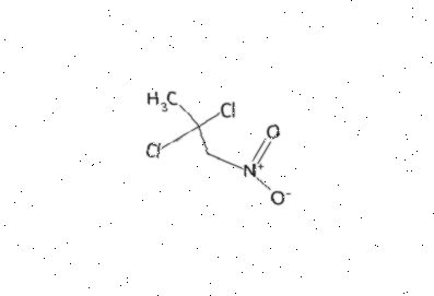 CC(Cl)(Cl)C[N+](=O)[O-]